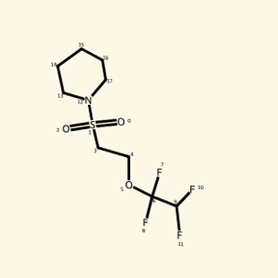 O=S(=O)(CCOC(F)(F)C(F)F)N1CCCCC1